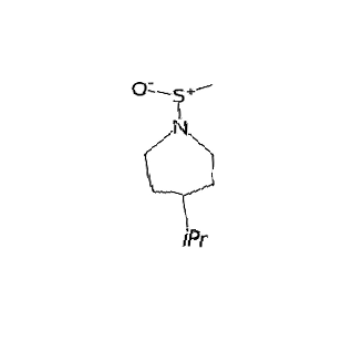 CC(C)C1CCN([S+](C)[O-])CC1